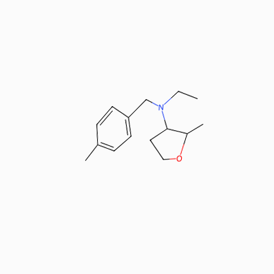 CCN(Cc1ccc(C)cc1)C1CCOC1C